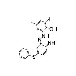 Cc1cc(I)c(O)c(N/N=C2/C=C(Sc3ccccc3)C=CC2=N)c1